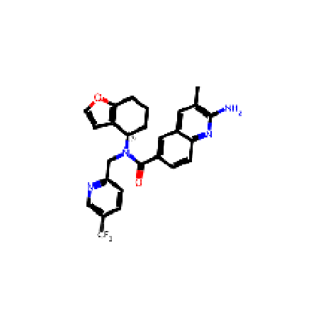 Cc1cc2cc(C(=O)N(Cc3ccc(C(F)(F)F)cn3)[C@@H]3CCCc4occc43)ccc2nc1N